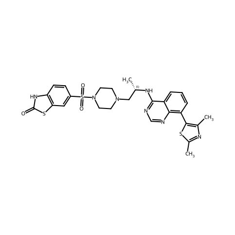 Cc1nc(C)c(-c2cccc3c(N[C@@H](C)CN4CCN(S(=O)(=O)c5ccc6[nH]c(=O)sc6c5)CC4)ncnc23)s1